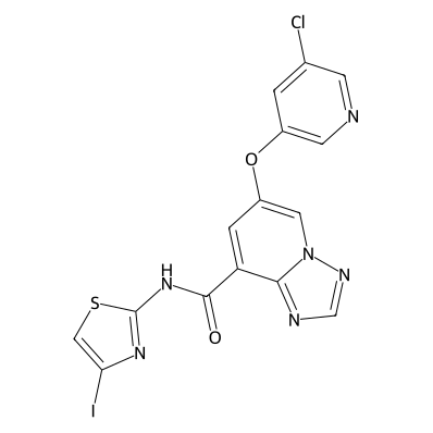 O=C(Nc1nc(I)cs1)c1cc(Oc2cncc(Cl)c2)cn2ncnc12